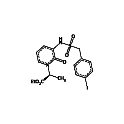 CCOC(=O)[C@H](C)n1cccc(NS(=O)(=O)Cc2ccc(I)cc2)c1=O